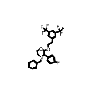 Fc1ccc(C2C(OCCc3cc(C(F)(F)F)cc(C(F)(F)F)c3)OCCN2Cc2ccccc2)cc1